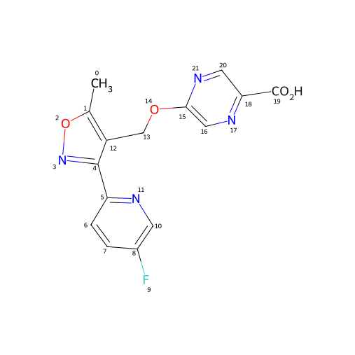 Cc1onc(-c2ccc(F)cn2)c1COc1cnc(C(=O)O)cn1